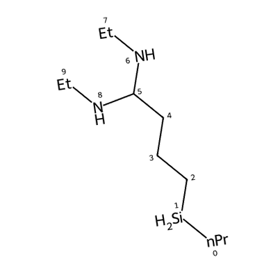 CCC[SiH2]CCCC(NCC)NCC